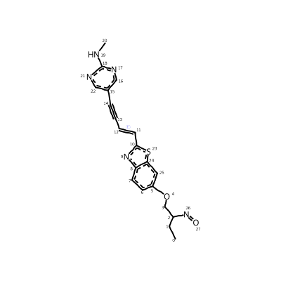 CCC(COc1ccc2nc(/C=C/C#Cc3cnc(NC)nc3)sc2c1)N=O